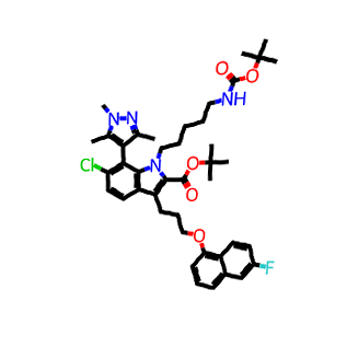 Cc1nn(C)c(C)c1-c1c(Cl)ccc2c(CCCOc3cccc4cc(F)ccc34)c(C(=O)OC(C)(C)C)n(CCCCCNC(=O)OC(C)(C)C)c12